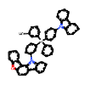 N#Cc1cccc([Si](c2ccccc2)(c2ccc(-n3c4ccccc4c4ccccc43)cc2)c2cccc(-n3c4ccccc4c4ccc5oc6ccccc6c5c43)c2)c1